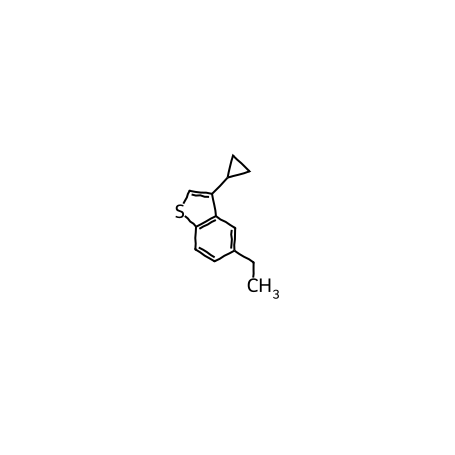 CCc1ccc2scc(C3CC3)c2c1